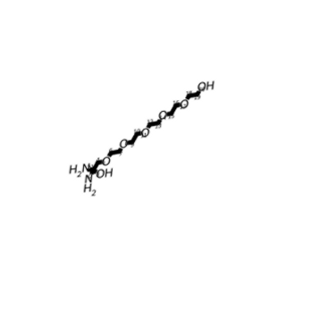 NC(N)(O)COCCOCCOCCOCCOCCO